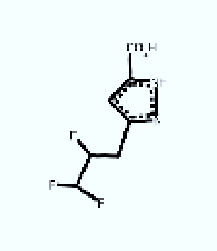 O=C(O)c1cc(CC(F)C(F)F)n[nH]1